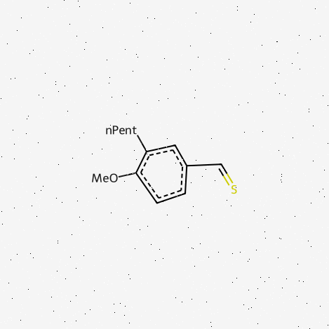 CCCCCc1cc(C=S)ccc1OC